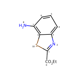 CCOC(=O)c1nc2cccc(N)c2s1